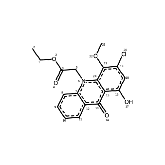 CCOC(=O)Cn1c2ccccc2c(=O)c2c(O)cc(Cl)c(OC)c21